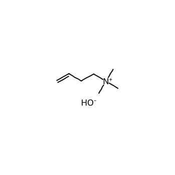 C=CCC[N+](C)(C)C.[OH-]